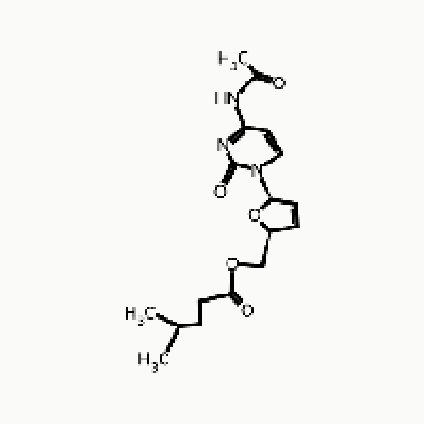 CC(=O)Nc1ccn([C@H]2C=C[C@@H](COC(=O)CCC(C)C)O2)c(=O)n1